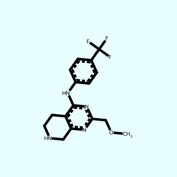 COCc1nc2c(c(Nc3ccc(C(F)(F)F)cc3)n1)CCNC2